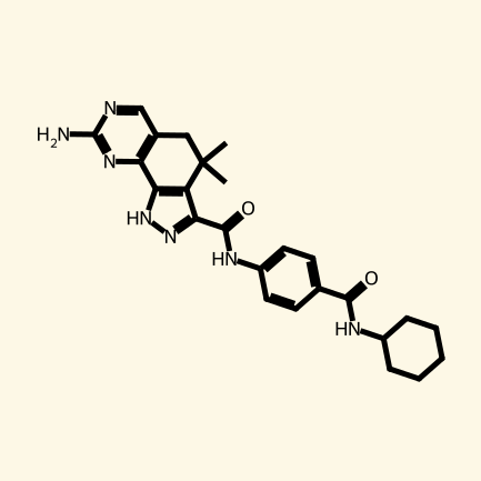 CC1(C)Cc2cnc(N)nc2-c2[nH]nc(C(=O)Nc3ccc(C(=O)NC4CCCCC4)cc3)c21